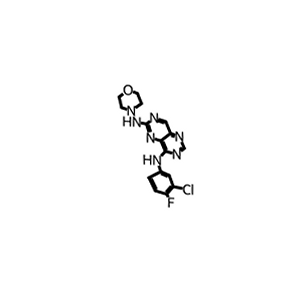 Fc1ccc(Nc2ncnc3cnc(NN4CCOCC4)nc23)cc1Cl